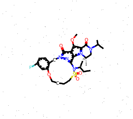 CCC(C)N1c2nn(c(=O)c3c(OC)c4n(c23)[C@@H](C)CN(C(C)C)C4=O)Cc2ccc(F)cc2OCCCCS1(=O)=O